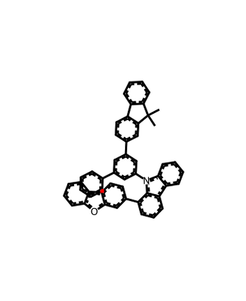 CC1(C)c2ccccc2-c2ccc(-c3cc(-c4ccccc4)cc(-n4c5ccccc5c5cccc(-c6ccc7c(c6)oc6ccccc67)c54)c3)cc21